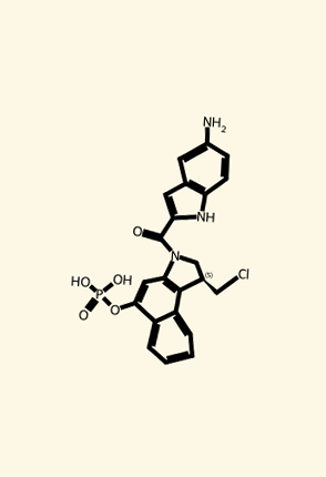 Nc1ccc2[nH]c(C(=O)N3C[C@@H](CCl)c4c3cc(OP(=O)(O)O)c3ccccc43)cc2c1